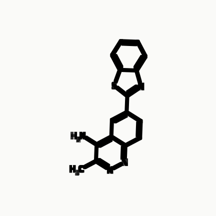 Cc1nnc2ccc(-c3nc4ccccc4s3)cc2c1N